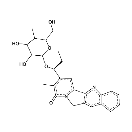 CC[C@H](OC1OC(CO)C(C)C(O)C1O)c1cc2n(c(=O)c1C)Cc1cc3ccccc3nc1-2